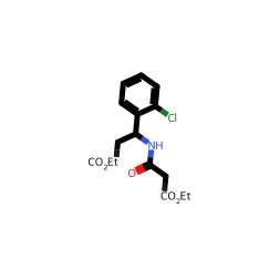 CCOC(=O)CC(=O)NC(CC(=O)OCC)c1ccccc1Cl